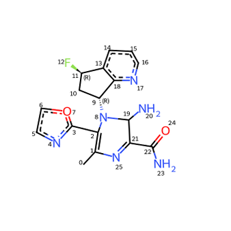 CC1=C(c2ncco2)N([C@@H]2C[C@@H](F)c3cccnc32)C(N)C(C(N)=O)=N1